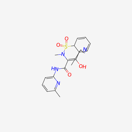 Cc1cccc(NC(=O)C2=C(O)C34C(=CC=CC3S(=O)(=O)N2C)N=CC4C)n1